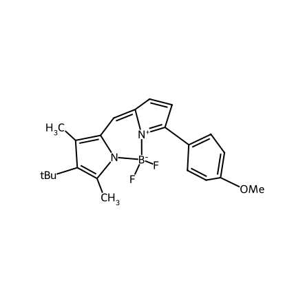 COc1ccc(C2=[N+]3C(=Cc4c(C)c(C(C)(C)C)c(C)n4[B-]3(F)F)C=C2)cc1